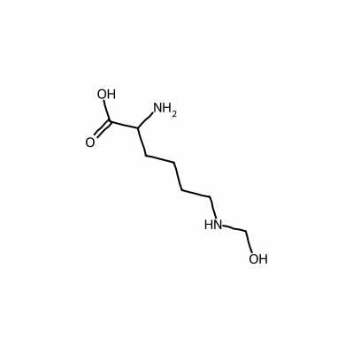 NC(CCCCNCO)C(=O)O